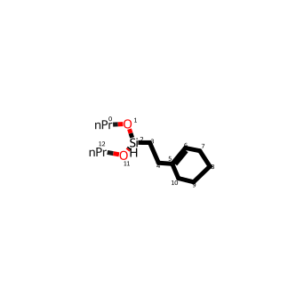 CCCO[SiH](CCC1=CCCCC1)OCCC